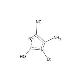 [C-]#[N+]c1nc(O)n(CC)c1N